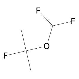 CC(C)(F)OC(F)F